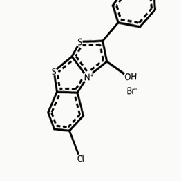 Oc1c(-c2ccccc2)sc2sc3ccc(Cl)cc3[n+]12.[Br-]